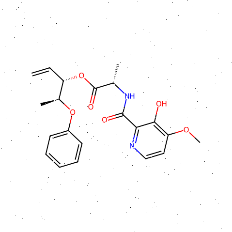 C=C[C@H](OC(=O)[C@H](C)NC(=O)c1nccc(OC)c1O)[C@H](C)Oc1ccccc1